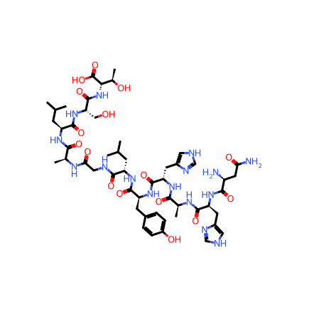 CC(C)C[C@H](NC(=O)[C@H](C)NC(=O)CNC(=O)[C@H](CC(C)C)NC(=O)[C@H](Cc1ccc(O)cc1)NC(=O)[C@H](Cc1c[nH]cn1)NC(=O)[C@H](C)NC(=O)[C@H](Cc1c[nH]cn1)NC(=O)[C@@H](N)CC(N)=O)C(=O)N[C@@H](CO)C(=O)N[C@H](C(=O)O)[C@@H](C)O